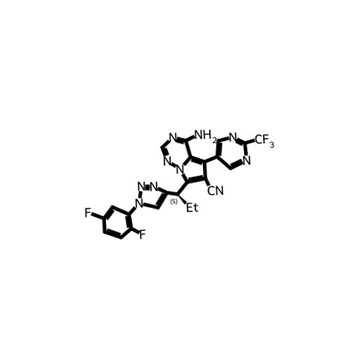 CC[C@@H](c1cn(-c2cc(F)ccc2F)nn1)c1c(C#N)c(-c2cnc(C(F)(F)F)nc2)c2c(N)ncnn12